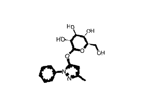 Cc1cc(OC2O[C@H](CO)[C@@H](O)[C@H](O)[C@H]2O)n(-c2ccccc2)n1